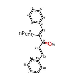 CCCCC/C(=C\c1ccccc1)C(=O)/C=C/c1ccccc1